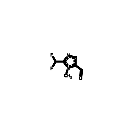 Cn1c(C=O)nnc1C(F)F